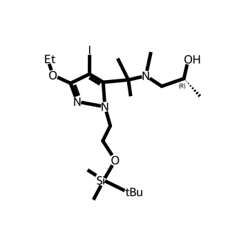 CCOc1nn(CCO[Si](C)(C)C(C)(C)C)c(C(C)(C)N(C)C[C@@H](C)O)c1I